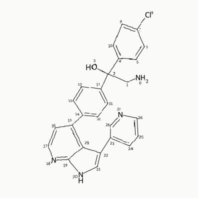 NCC(O)(c1ccc(Cl)cc1)c1ccc(-c2ccnc3[nH]cc(-c4cccnc4)c23)cc1